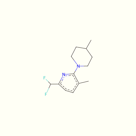 Cc1ccc(C(F)F)nc1N1CCC(C)CC1